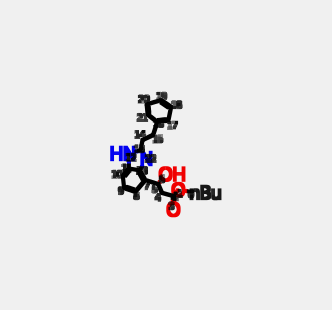 CCCCOC(=O)CC(O)c1cccc2[nH]c(CCc3ccccc3)nc12